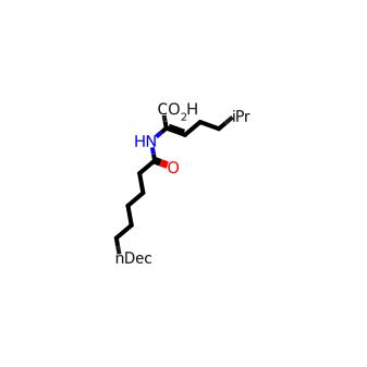 CCCCCCCCCCCCCCCC(=O)NC(=CCCC(C)C)C(=O)O